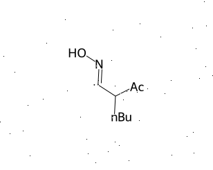 CCCCC([C]=NO)C(C)=O